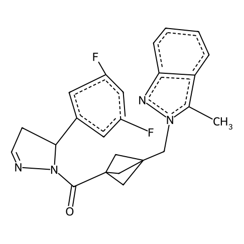 Cc1c2ccccc2nn1CC12CC(C(=O)N3N=CCC3c3cc(F)cc(F)c3)(C1)C2